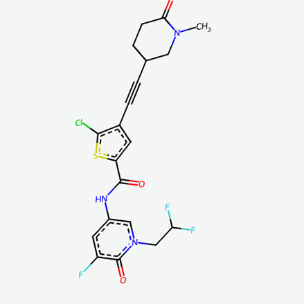 CN1CC(C#Cc2cc(C(=O)Nc3cc(F)c(=O)n(CC(F)F)c3)sc2Cl)CCC1=O